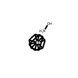 NO.[CH]12[CH]3[CH]4[CH]5[CH]1[Fe]23451678[CH]2[CH]1[CH]6[CH]7[CH]28